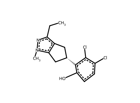 CCc1nn(C)c2c1C[C@H](c1c(O)ccc(Cl)c1Cl)C2